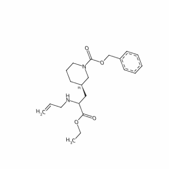 C=CCNC(C[C@H]1CCCN(C(=O)OCc2ccccc2)C1)C(=O)OCC